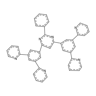 c1ccc(-c2nc(-c3cc(-c4ccccn4)cc(-c4ccccn4)c3)cc(-c3cc(-c4ccccn4)cc(-c4ccccn4)c3)n2)cc1